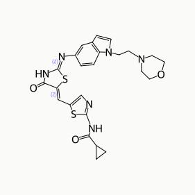 O=C1N/C(=N/c2ccc3c(ccn3CCN3CCOCC3)c2)S/C1=C\c1cnc(NC(=O)C2CC2)s1